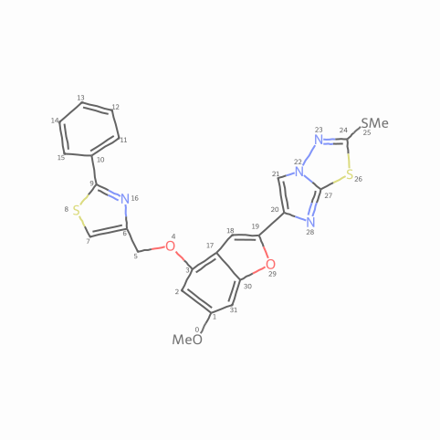 COc1cc(OCc2csc(-c3ccccc3)n2)c2cc(-c3cn4nc(SC)sc4n3)oc2c1